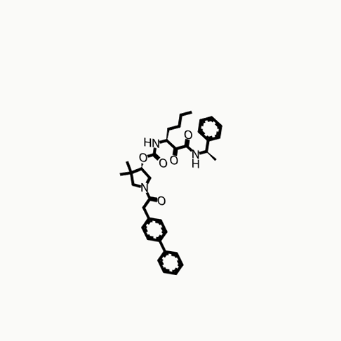 CCCC[C@H](NC(=O)O[C@@H]1CN(C(=O)Cc2ccc(-c3ccccc3)cc2)CC1(C)C)C(=O)C(=O)N[C@H](C)c1ccccc1